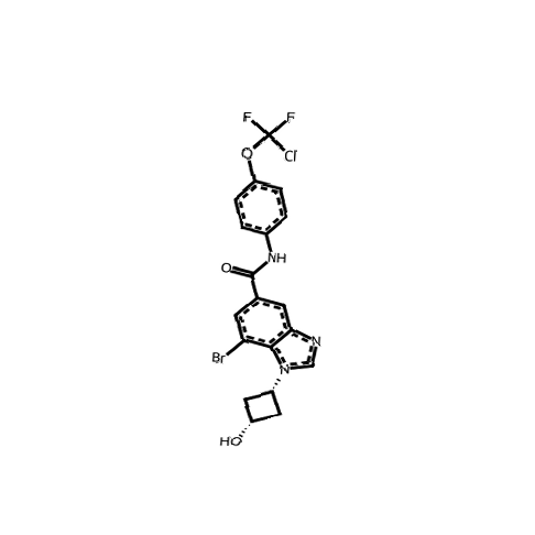 O=C(Nc1ccc(OC(F)(F)Cl)cc1)c1cc(Br)c2c(c1)ncn2[C@H]1C[C@@H](O)C1